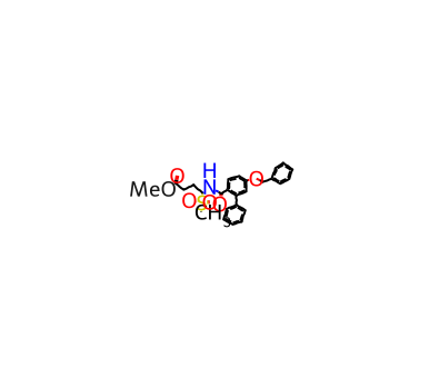 COC(=O)CCC(NC(=O)c1ccc(OCc2ccccc2)cc1-c1ccccc1)S(C)(=O)=O